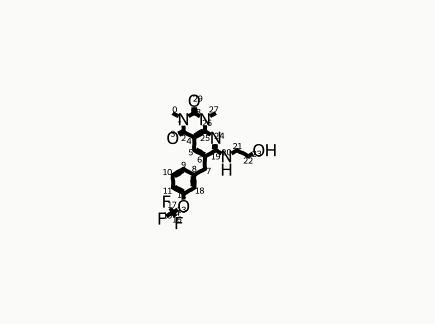 Cn1c(=O)c2cc(Cc3cccc(OC(F)(F)F)c3)c(NCCO)nc2n(C)c1=O